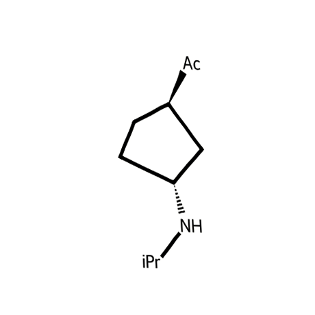 CC(=O)[C@@H]1CC[C@@H](NC(C)C)C1